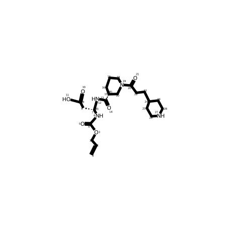 C=CCOC(=O)N[C@H](CC(=O)O)NC(=O)[C@@H]1CCCN(C(=O)CCC2CCNCC2)C1